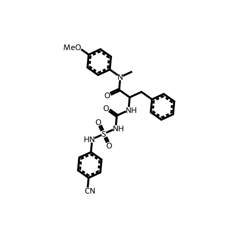 COc1ccc(N(C)C(=O)C(Cc2ccccc2)NC(=O)NS(=O)(=O)Nc2ccc(C#N)cc2)cc1